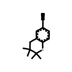 C#Cc1ccc2c(c1)CC(C)(C)C(C)(C)S2